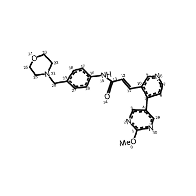 COc1ncc(-c2ccncc2/C=C/C(=O)Nc2ccc(CN3CCOCC3)cc2)cn1